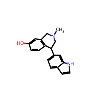 CN1Cc2cc(O)ccc2C(c2ccc3cc[nH]c3c2)C1